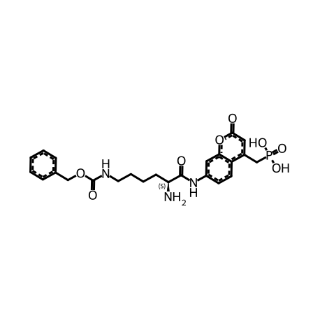 N[C@@H](CCCCNC(=O)OCc1ccccc1)C(=O)Nc1ccc2c(CP(=O)(O)O)cc(=O)oc2c1